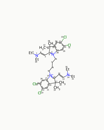 CCN(C=CC1=[N+](CCCC[N+]2=C(C=CN(CC)CC)C(C)(C)c3cc(Cl)c(Cl)cc32)c2cc(Cl)c(Cl)cc2C1(C)C)CC